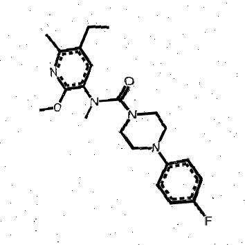 CCc1cc(N(C)C(=O)N2CCN(c3ccc(F)cc3)CC2)c(OC)nc1C